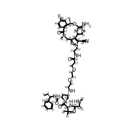 CC[C@@H](NC(=O)[C@@H]1C[C@H](NCCOCCOCCC(=O)NCCn2nc3c(c2C#N)-c2cnc(N)c(n2)O[C@H](C)c2cc(F)ccc2C(=O)N(C)C3)CN1C(=O)[C@@H](NC(=O)[C@H](C)NC)C(C)(C)C)c1ccccc1